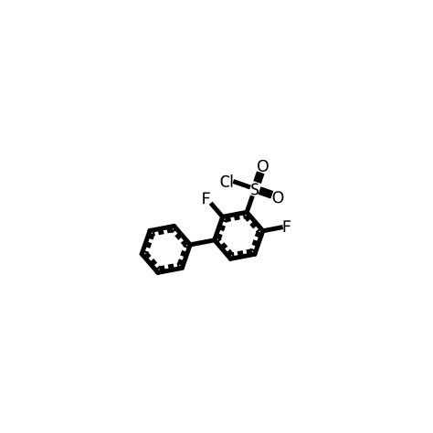 O=S(=O)(Cl)c1c(F)ccc(-c2ccccc2)c1F